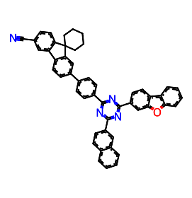 N#Cc1ccc2c(c1)-c1ccc(-c3ccc(-c4nc(-c5ccc6ccccc6c5)nc(-c5ccc6c(c5)oc5ccccc56)n4)cc3)cc1C21CCCCC1